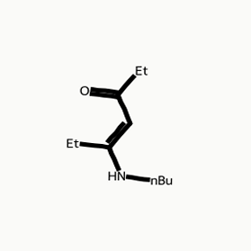 CCCCNC(=CC(=O)CC)CC